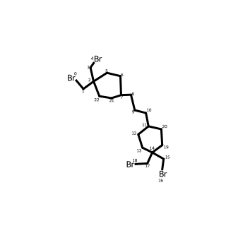 BrCC1(CBr)CCC(CCCC2CCC(CBr)(CBr)CC2)CC1